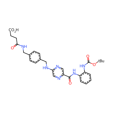 CC(C)(C)OC(=O)Nc1ccccc1NC(=O)c1cnc(NCc2ccc(CNC(=O)CCC(=O)O)cc2)cn1